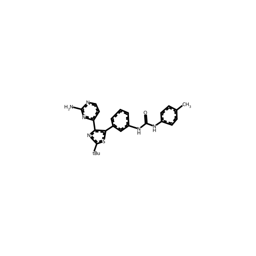 Cc1ccc(NC(=O)Nc2cccc(-c3sc(C(C)(C)C)nc3-c3ccnc(N)n3)c2)cc1